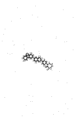 CC1C=CC=CC(c2ccc(-c3ccc4cc(-c5ccc6oc7ccccc7c6c5)ccc4c3)cc2)C1C